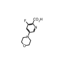 O=C(O)c1ncc(N2CCOCC2)cc1F